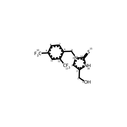 OCc1cn(Cc2ccc(C(F)(F)F)cc2C(F)(F)F)c(=S)[nH]1